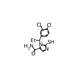 CCC(c1ccc(Cl)c(Cl)c1)n1c(C(N)=O)cnc1S